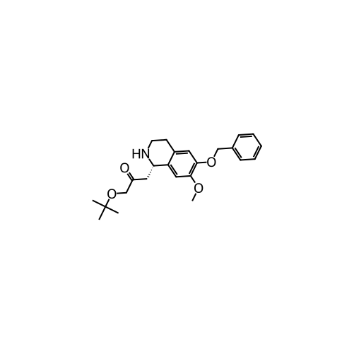 COc1cc2c(cc1OCc1ccccc1)CCN[C@H]2CC(=O)COC(C)(C)C